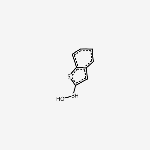 OBc1cc2ccccc2s1